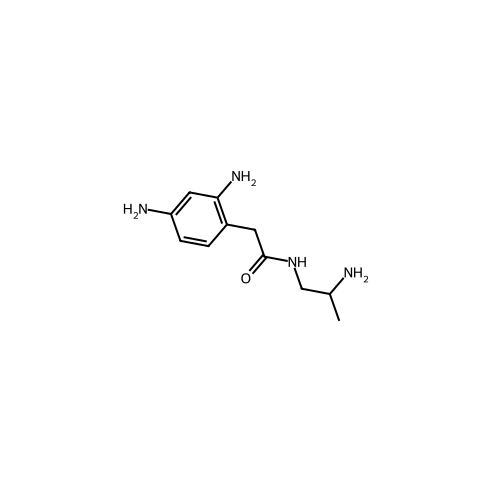 CC(N)CNC(=O)Cc1ccc(N)cc1N